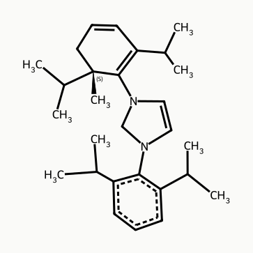 CC(C)C1=C(N2C=CN(c3c(C(C)C)cccc3C(C)C)C2)[C@](C)(C(C)C)CC=C1